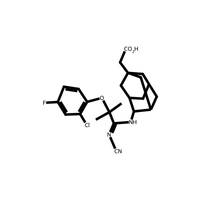 CC(C)(Oc1ccc(F)cc1Cl)/C(=N/C#N)NC1C2CC3CC1CC(CC(=O)O)(C3)C2